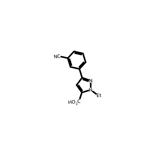 CCn1nc(-c2cccc(C#N)c2)cc1C(=O)O